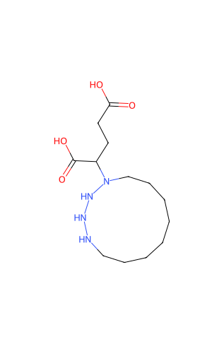 O=C(O)CCC(C(=O)O)N1CCCCCCCCNNN1